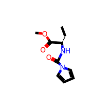 CC[C@H](NC(=O)n1cccc1)C(=O)OC